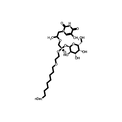 CCCCCCCCCCCCCCCCCCOCCOP(=O)(COC(C)Cn1cc(C)c(=O)[nH]c1=O)O[C@H]1O[C@H](CO)[C@H](O)[C@H](O)[C@H]1O